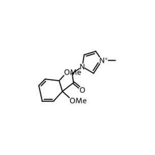 COC1C=CC=CC1(OC)C(=O)Cn1cc[n+](C)c1